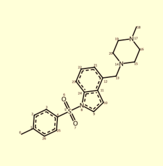 Cc1ccc(S(=O)(=O)n2ccc3c(CN4CCN(C)CC4)cccc32)cc1